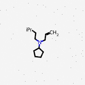 C=CCN(CCC(C)C)C1CCCC1